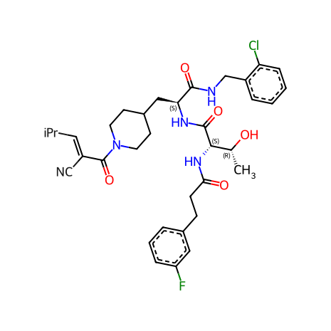 CC(C)C=C(C#N)C(=O)N1CCC(C[C@H](NC(=O)[C@@H](NC(=O)CCc2cccc(F)c2)[C@@H](C)O)C(=O)NCc2ccccc2Cl)CC1